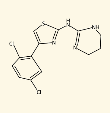 Clc1ccc(Cl)c(-c2csc(NC3=NCCCN3)n2)c1